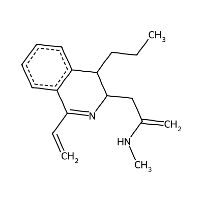 C=CC1=NC(CC(=C)NC)C(CCC)c2ccccc21